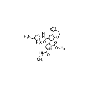 CCCNC(=O)c1ccc(-c2cc3c(cc2C(=O)Nc2ccc(CN)cc2C)-c2sccc2CCO3)c(C(=O)OC)n1